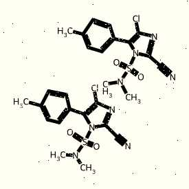 Cc1ccc(-c2c(Cl)nc(C#N)n2S(=O)(=O)N(C)C)cc1.Cc1ccc(-c2c(Cl)nc(C#N)n2S(=O)(=O)N(C)C)cc1